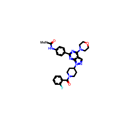 CNC(=O)Nc1ccc(-c2nc(N3CCOCC3)c3cnn(C4CCN(C(=O)c5ccccc5F)CC4)c3n2)cc1